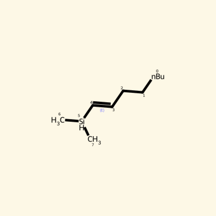 CCCCCC/C=C/[SiH](C)C